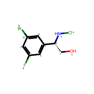 OC[C@@H](NCl)c1cc(F)cc(Br)c1